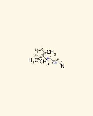 CC1=C(/C=C/C=C/C#N)C(C)(C)CCC1